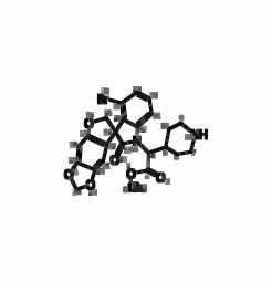 CC(C)(C)OC(=O)C(C1CCNCC1)N1C(=O)C2(COc3cc4c(cc32)OCO4)c2c(Br)cccc21